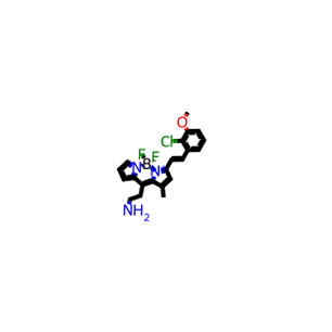 COc1cccc(/C=C/C2=[N+]3C(=C(CCN)c4cccn4[B-]3(F)F)C(C)=C2)c1Cl